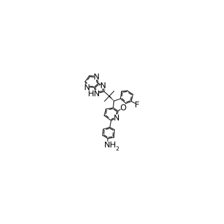 CC(C)(c1nc2nccnc2[nH]1)[C@@H]1c2ccc(-c3ccc(N)cc3)nc2Oc2c(F)cccc21